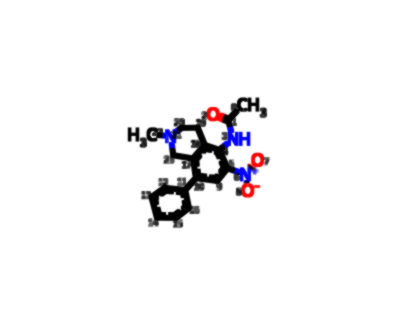 CC(=O)Nc1c([N+](=O)[O-])cc(-c2ccccc2)c2c1CCN(C)C2